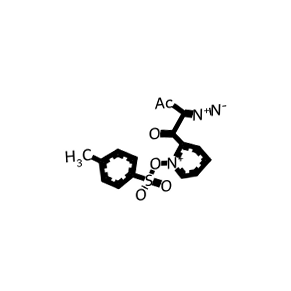 CC(=O)C(=[N+]=[N-])C(=O)c1cccc[n+]1OS(=O)(=O)c1ccc(C)cc1